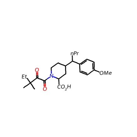 CCCC(c1ccc(OC)cc1)C1CCN(C(=O)C(=O)C(C)(C)CC)C(C(=O)O)C1